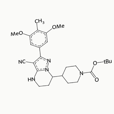 COc1cc(-c2nn3c(c2C#N)NCCC3C2CCN(C(=O)OC(C)(C)C)CC2)cc(OC)c1C